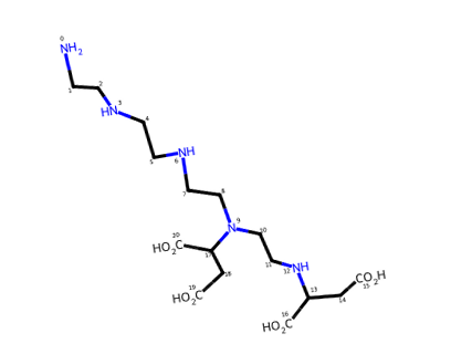 NCCNCCNCCN(CCNC(CC(=O)O)C(=O)O)C(CC(=O)O)C(=O)O